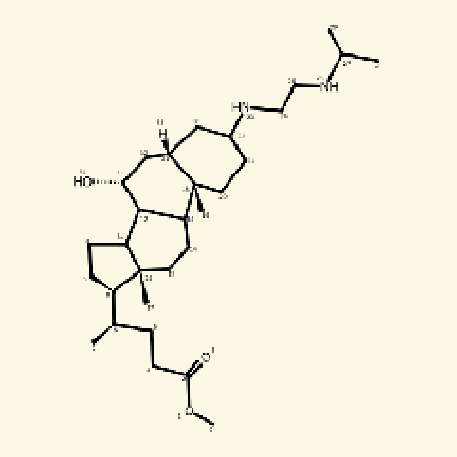 COC(=O)CC[C@@H](C)[C@H]1CCC2C3C(CC[C@@]21C)[C@@]1(C)CCC(NCCNC(C)C)C[C@H]1C[C@H]3O